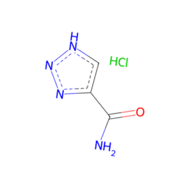 Cl.NC(=O)c1c[nH]nn1